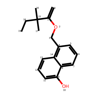 C=C(OCc1cccc2c(O)cccc12)C(C)(C)CC